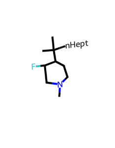 CCCCCCCC(C)(C)C1CCN(C)CC1F